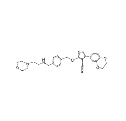 N#Cc1c(-c2ccc3c(c2)OCCO3)csc1OCc1ccc(CNCCN2CCOCC2)cc1